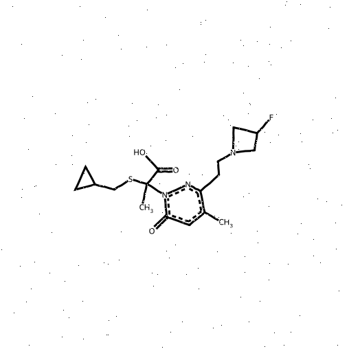 Cc1cc(=O)n(C(C)(SCC2CC2)C(=O)O)nc1CCN1CC(F)C1